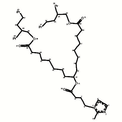 Cc1nccn1CCCC(=O)OC(CCCCCCCC(=O)OCC(CCC(C)C)C(C)C)CCCCCCCC(=O)OCC(CCC(C)C)C(C)C